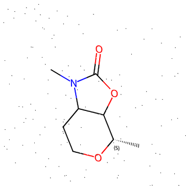 C[C@@H]1OCCC2C1OC(=O)N2C